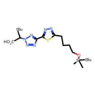 CC(C)(C)C(C(=O)O)n1nnc(-c2nnc(CCCCO[Si](C)(C)C(C)(C)C)s2)n1